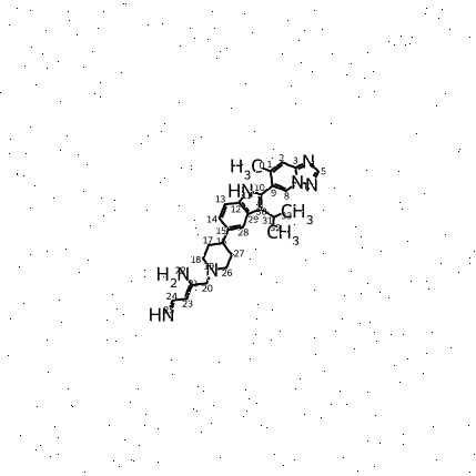 Cc1cc2ncnn2cc1-c1[nH]c2ccc(C3CCN(C/C(N)=C/C=N)CC3)cc2c1C(C)C